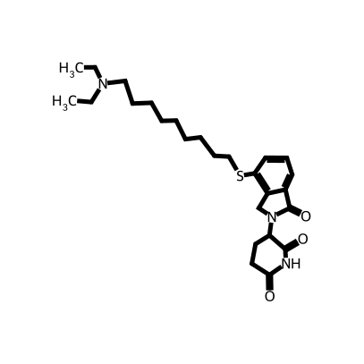 CCN(CC)CCCCCCCCCSc1cccc2c1CN(C1CCC(=O)NC1=O)C2=O